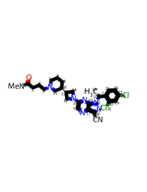 CNC(=O)CCCN1CCC[C@H](C2CN(c3cnc4c(C#N)nn(C(C)c5ccc(Cl)cc5Cl)c4n3)C2)C1